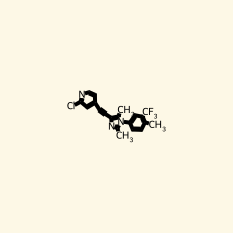 Cc1ccc(-n2c(C)nc(C#Cc3ccnc(Cl)c3)c2C)cc1C(F)(F)F